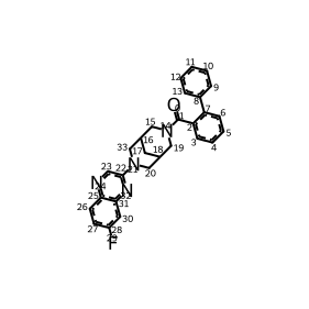 O=C(c1ccccc1-c1ccccc1)N1CC2CC(C1)CN(c1cnc3ccc(F)cc3n1)C2